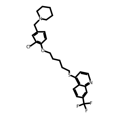 FC(F)(F)c1ccc2c(SCCCCCOc3ccc(CN4CCCCC4)cc3Cl)ccnc2c1